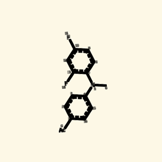 CC(=O)c1ccc(N(C)c2ccc(F)cc2F)cc1